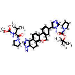 COC(=O)N[C@H](C(=O)N1CCC[C@H]1c1nc2c([nH]1)CCc1c-2ccc2c1OCc1cc(-c3cnc([C@@H]4CCCN4C(=O)OC(C)(C)C)[nH]3)ccc1-2)C(C)C